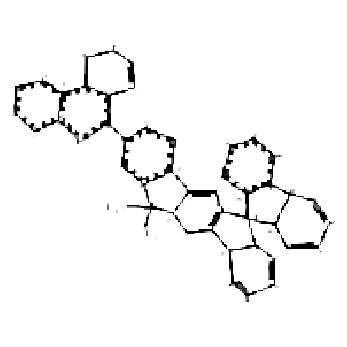 CC1(C)c2cc(-c3nc4ccccc4c4c3C=CCC4)ccc2C2=CC3=C(CC21)C1C=CC=CC1C31c2ccccc2C2C=CC=CC21